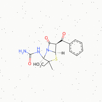 CC1(C)S[C@@H]2[C@H](C(=O)c3ccccc3)C(=O)N2[C@@]1(NC(N)=O)C(=O)O